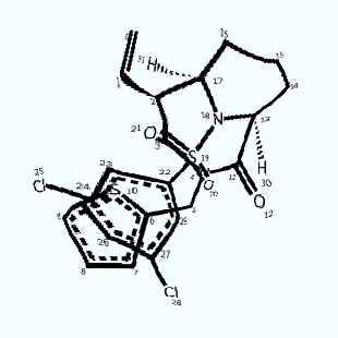 C=C[C@@H]1CN(Cc2cccs2)C(=O)[C@@H]2CCC[C@H]1N2S(=O)(=O)c1cc(Cl)cc(Cl)c1